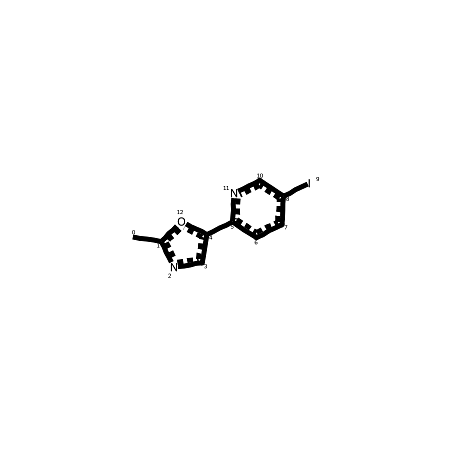 Cc1ncc(-c2ccc(I)cn2)o1